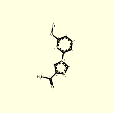 CCOc1cncc(-n2cnc(C(N)=O)c2)n1